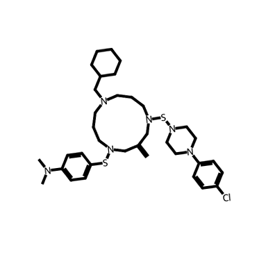 C=C1CN(Sc2ccc(N(C)C)cc2)CCCN(CC2CCCCC2)CCCN(SN2CCN(c3ccc(Cl)cc3)CC2)C1